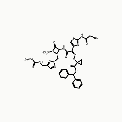 CC(C)(C)OC(=O)NCc1cnn(C[C@@H]2[C@H](NC(=O)C(=NOC3(C(=O)OC(c4ccccc4)c4ccccc4)CC3)c3csc(NC(=O)OC(C)(C)C)n3)C(=O)N2S(=O)(=O)O)n1